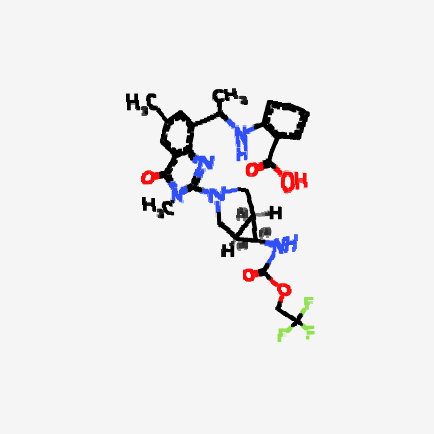 Cc1cc(C(C)Nc2ccccc2C(=O)O)c2nc(N3C[C@@H]4[C@H](C3)[C@@H]4NC(=O)OCC(F)(F)F)n(C)c(=O)c2c1